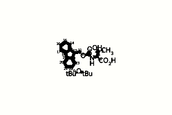 CC(C)(C)OC(C)(C)C.C[C@@H](O)[C@H](NC(=O)OCC1c2ccccc2-c2ccccc21)C(=O)O